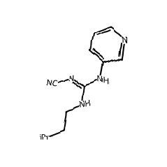 CC(C)CCNC(=NC#N)Nc1cccnc1